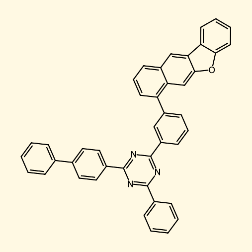 c1ccc(-c2ccc(-c3nc(-c4ccccc4)nc(-c4cccc(-c5cccc6cc7c(cc56)oc5ccccc57)c4)n3)cc2)cc1